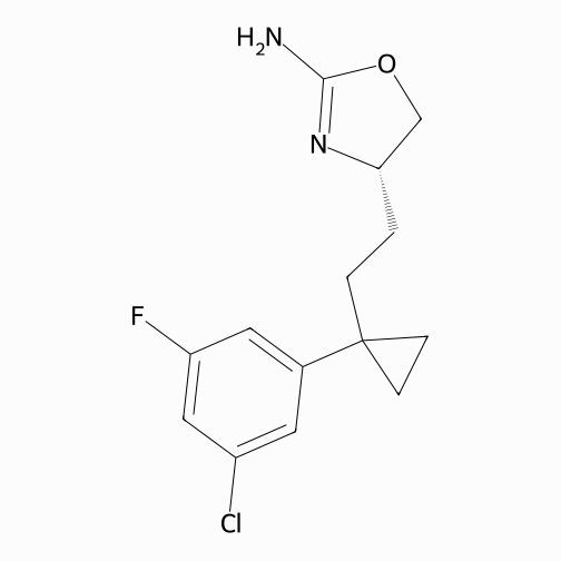 NC1=N[C@@H](CCC2(c3cc(F)cc(Cl)c3)CC2)CO1